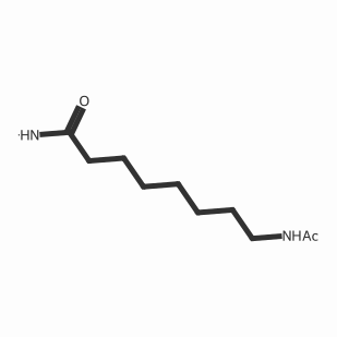 CC(=O)NCCCCCCCC([NH])=O